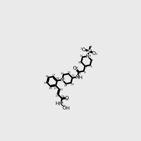 CS(=O)(=O)N1CCC(CC(=O)NC2CCN(c3ccccc3C=CC(=O)NO)CC2)CC1